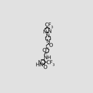 O=C(C[C@H]1CC[C@@H](CNc2cn[nH]c(=O)c2C(F)(F)F)O1)N1CCN(c2ncc(C(F)(F)F)cn2)CC1